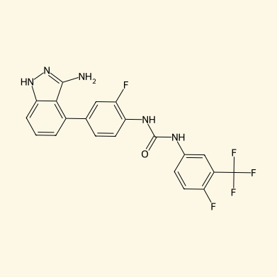 Nc1n[nH]c2cccc(-c3ccc(NC(=O)Nc4ccc(F)c(C(F)(F)F)c4)c(F)c3)c12